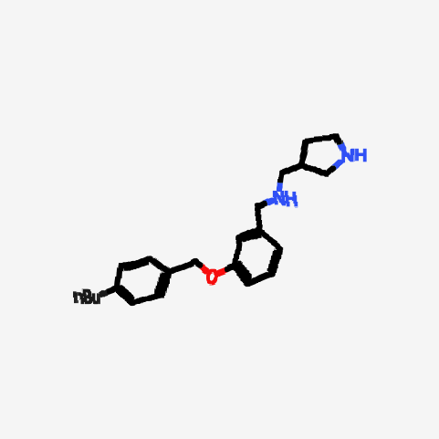 CCCCc1ccc(COc2cccc(CNCC3CCNC3)c2)cc1